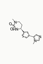 CN1CC[C@@H](c2cc(-c3cncn3C)cs2)NS1(=O)=O